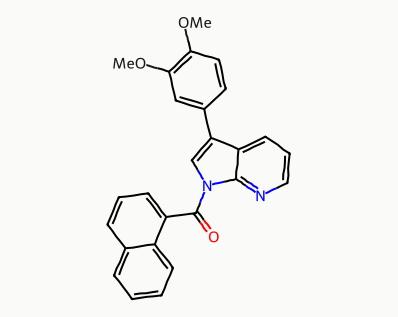 COc1ccc(-c2cn(C(=O)c3cccc4ccccc34)c3ncccc23)cc1OC